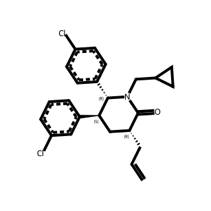 C=CC[C@@H]1C[C@@H](c2cccc(Cl)c2)[C@H](c2ccc(Cl)cc2)N(CC2CC2)C1=O